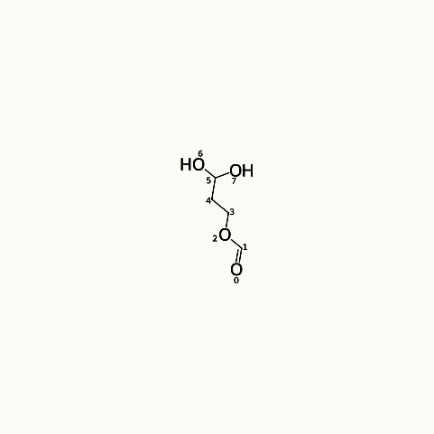 O=COCCC(O)O